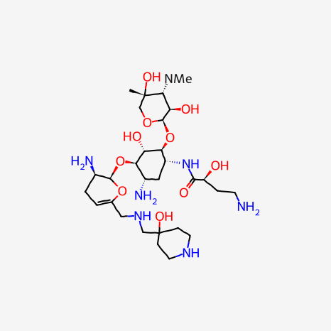 CN[C@@H]1[C@@H](O)[C@@H](O[C@@H]2[C@@H](O)[C@H](O[C@H]3OC(CNCC4(O)CCNCC4)=CC[C@H]3N)[C@@H](N)C[C@H]2NC(=O)[C@@H](O)CCN)OC[C@]1(C)O